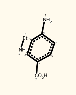 CCN.Nc1ccc(C(=O)O)cc1